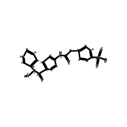 CCCN(C(=O)c1ccc(NC(=O)Cc2ccc(S(=O)(=O)CC)cc2)cc1)c1cccnc1